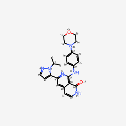 CC(C)n1nccc1-c1cc2cc[nH]c(=O)c2c(Nc2ccc(N3CCOCC3)cc2)n1